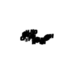 C[C@@H](Oc1c(C(N)=O)sc(-n2cnc3cc(-c4ccnc(N5CCNCC5)n4)ccc32)c1F)c1ccccc1C(F)(F)F